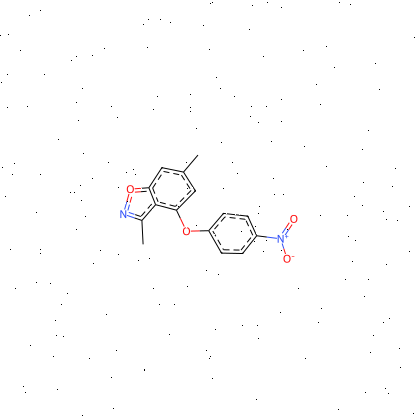 Cc1cc(Oc2ccc([N+](=O)[O-])cc2)c2c(C)noc2c1